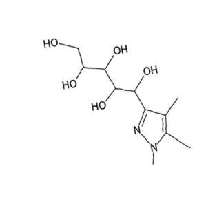 Cc1c(C(O)C(O)C(O)C(O)CO)nn(C)c1C